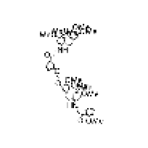 COc1cc(/C=C\c2cc(OC)c(OC)c(OC)c2)c(NCCC(=O)c2cccc(OCCOc3cc(/C=C\c4cc(OC)c(OC)cc4NCCC(=O)c4ccccc4OC)cc(OC)c3OC)c2)cc1OC